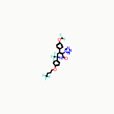 O=C1N[C@@](c2ccc(OCCCC(F)(F)F)cc2)(C(F)(F)F)CC(c2ccc(OC(F)F)cc2)=C1n1cnnn1